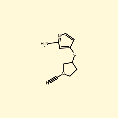 N#CN1CCC(Oc2ccnc(N)c2)C1